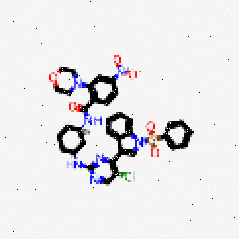 O=C(N[C@H]1CCC[C@@H](Nc2ncc(Cl)c(-c3cn(S(=O)(=O)c4ccccc4)c4ccccc34)n2)C1)c1ccc([N+](=O)[O-])cc1N1CCOCC1